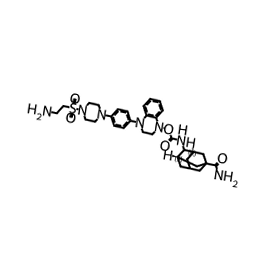 NCCS(=O)(=O)N1CCN(c2ccc(N3CCN(OC(=O)NC4[C@@H]5CC6C[C@H]4CC(C(N)=O)(C6)C5)c4ccccc43)cc2)CC1